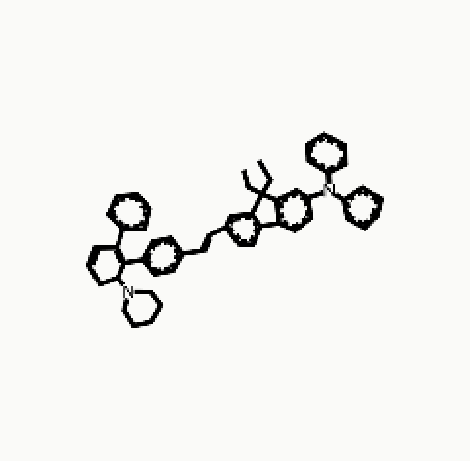 CCC1(CC)c2cc(/C=C/c3ccc(C4=C(c5ccccc5)C=CCC4N4CCCCC4)cc3)ccc2-c2ccc(N(c3ccccc3)c3ccccc3)cc21